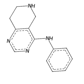 c1ccc(Nc2ncnc3c2CNCC3)cc1